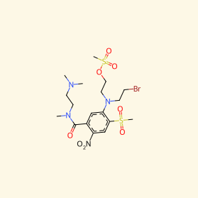 CN(C)CCN(C)C(=O)c1cc(N(CCBr)CCOS(C)(=O)=O)c(S(C)(=O)=O)cc1[N+](=O)[O-]